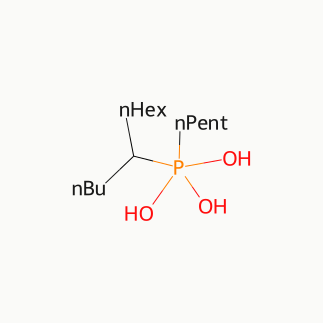 CCCCCCC(CCCC)P(O)(O)(O)CCCCC